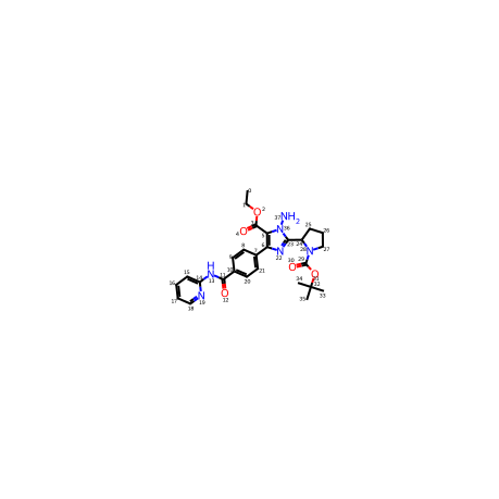 CCOC(=O)c1c(-c2ccc(C(=O)Nc3ccccn3)cc2)nc(C2CCCN2C(=O)OC(C)(C)C)n1N